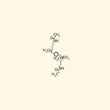 C=CC(=O)NCCCCN(C)Cc1ccc(C[N+](C)(C)CCCCNC(=O)C=C)cc1